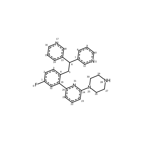 Fc1ccc(CC(c2cccnc2)c2cccnc2)c(-c2cccc(N3CCNCC3)n2)c1